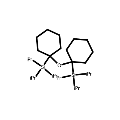 CC(C)[Si](C(C)C)(C(C)C)C1(OC2([Si](C(C)C)(C(C)C)C(C)C)CCCCC2)CCCCC1